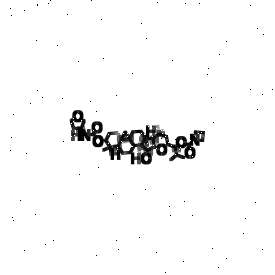 CC(C)[C@@H](OC(=O)N1CCC1)C1C[C@@H](C)[C@H]2C(O1)[C@H](O)[C@@]1(C)C3CC[C@H]4C(C)(C)C(OC(=O)N[C@@H]5CCOC5)CC[C@@]45C[C@@]35CC[C@]21C